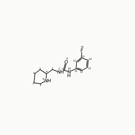 O=C(NCC1CCCCN1)Nc1cccc(F)c1